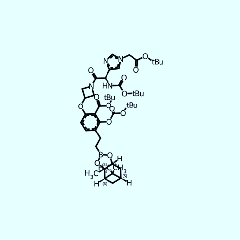 CC(C)(C)OC(=O)Cn1cnc(C(NC(=O)OC(C)(C)C)C(=O)N2CC(Oc3ccc(CCB4O[C@@H]5C[C@@H]6C[C@@H](C6(C)C)[C@]5(C)O4)c(OC(=O)OC(C)(C)C)c3C(=O)OC(C)(C)C)C2)c1